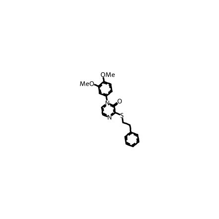 COc1ccc(-n2ccnc(SCCc3ccccc3)c2=O)cc1OC